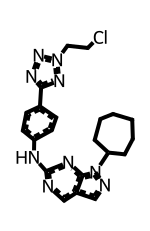 ClCCn1nnc(-c2ccc(Nc3ncc4cnn(C5CCCCCC5)c4n3)cc2)n1